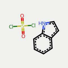 O=S(=O)(Cl)Cl.c1ccc2[nH]ccc2c1